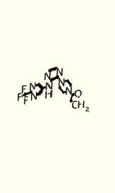 C=CC(=O)N1CCN(c2nccnc2Nc2cnc(C(F)(F)F)nc2)CC1